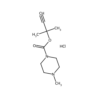 C#CC(C)(C)OC(=O)N1CCN(C)CC1.Cl